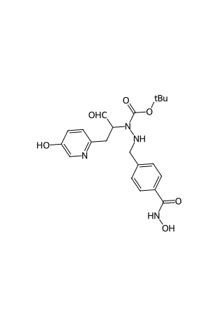 CC(C)(C)OC(=O)N(NCc1ccc(C(=O)NO)cc1)C(C=O)Cc1ccc(O)cn1